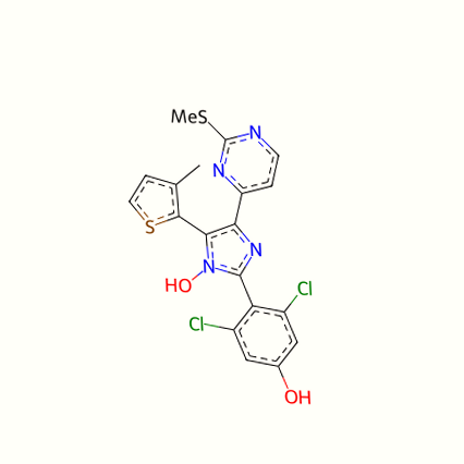 CSc1nccc(-c2nc(-c3c(Cl)cc(O)cc3Cl)n(O)c2-c2sccc2C)n1